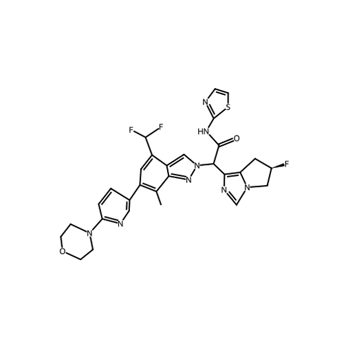 Cc1c(-c2ccc(N3CCOCC3)nc2)cc(C(F)F)c2cn(C(C(=O)Nc3nccs3)c3ncn4c3C[C@@H](F)C4)nc12